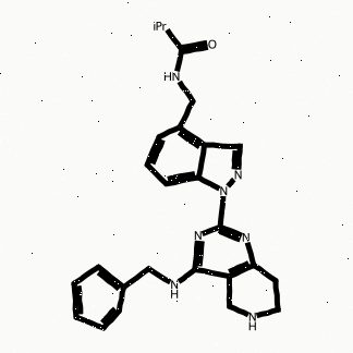 CC(C)C(=O)NCc1cccc2c1cnn2-c1nc2c(c(NCc3ccccc3)n1)CNCC2